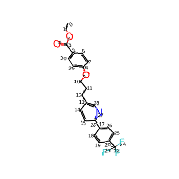 CCOC(=O)c1ccc(OCCCc2ccc(-c3ccc(C(F)(F)F)cc3)nc2)cc1